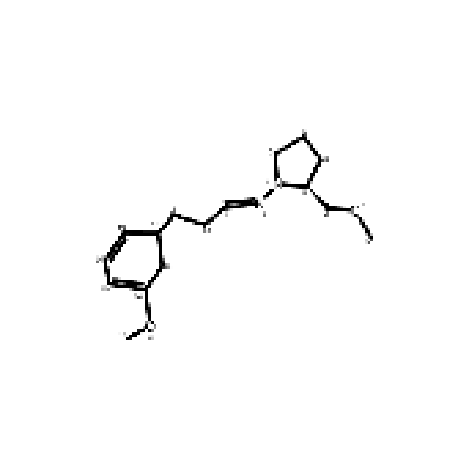 COC[C@@H]1CCCN1/N=C/CCC1C=CC=C(OC)C1